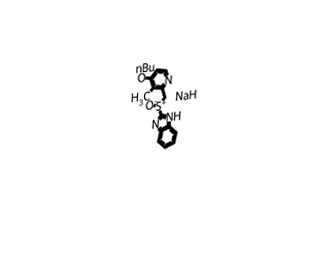 CCCCOc1ccnc(C[S+]([O-])c2nc3ccccc3[nH]2)c1C.[NaH]